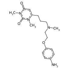 CN(CCCc1cc(=O)n(C)c(=O)n1C)CCOc1ccc(N)cc1